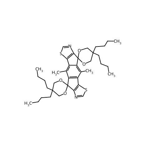 CCCCC1(CCCC)COC2(OC1)c1ncsc1-c1c(C)c3c(c(C)c12)-c1scnc1C31OCC(CCCC)(CCCC)CO1